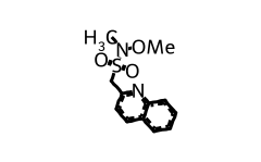 CON(C)S(=O)(=O)Cc1ccc2ccccc2n1